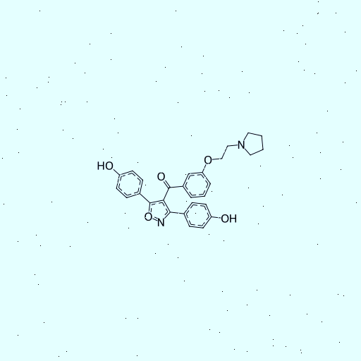 O=C(c1cccc(OCCN2CCCC2)c1)c1c(-c2ccc(O)cc2)noc1-c1ccc(O)cc1